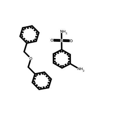 Nc1cccc(S(N)(=O)=O)c1.c1ccc(COCc2ccccc2)cc1